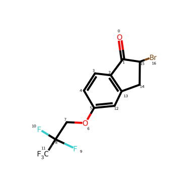 O=C1c2ccc(OCC(F)(F)C(F)(F)F)cc2CC1Br